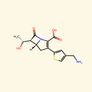 C[C@@H](O)[C@H]1C(=O)N2C(C(=O)O)=C(c3cc(CN)cs3)C[C@H]12